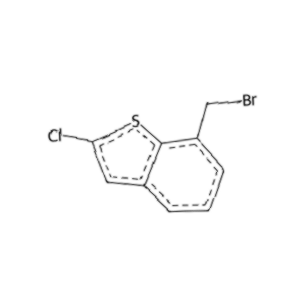 Clc1cc2cccc(CBr)c2s1